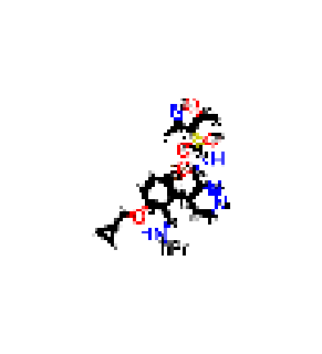 CCCNCc1c(OCC2CC2)ccc(Br)c1-c1ccnnc1C(=O)NS(=O)(=O)c1c(C)noc1C